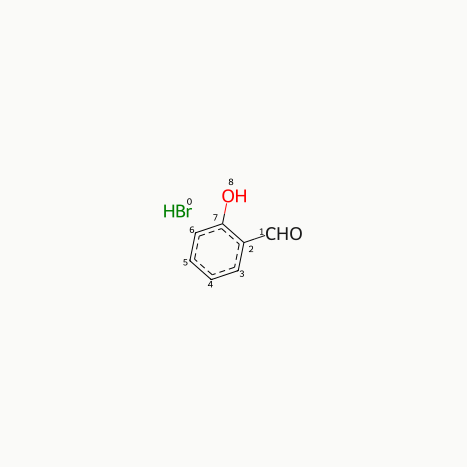 Br.O=Cc1ccccc1O